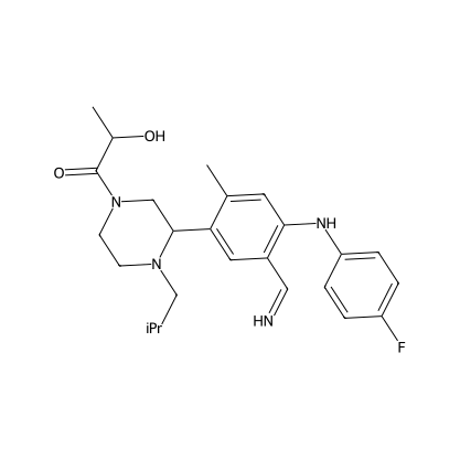 Cc1cc(Nc2ccc(F)cc2)c(C=N)cc1C1CN(C(=O)C(C)O)CCN1CC(C)C